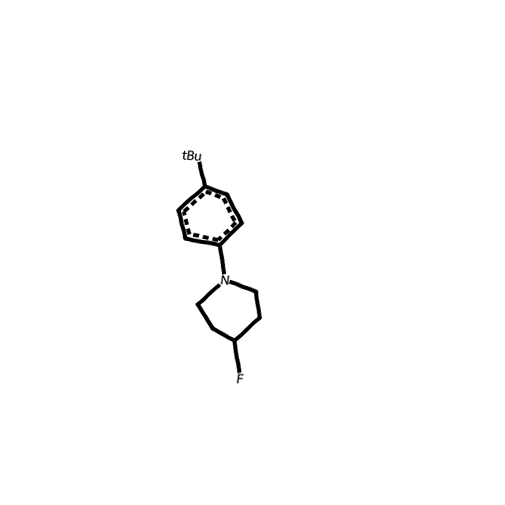 CC(C)(C)c1ccc(N2CCC(F)CC2)cc1